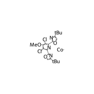 COc1c(Cl)c(-c2nc(C(C)(C)C)co2)nc(-c2nc(C(C)(C)C)co2)c1Cl.[Co]